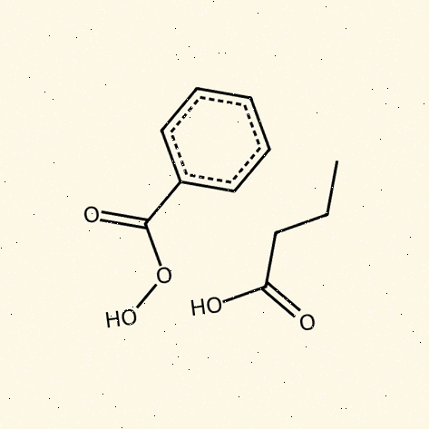 CCCC(=O)O.O=C(OO)c1ccccc1